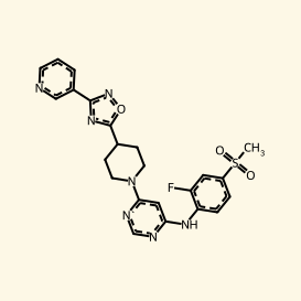 CS(=O)(=O)c1ccc(Nc2cc(N3CCC(c4nc(-c5cccnc5)no4)CC3)ncn2)c(F)c1